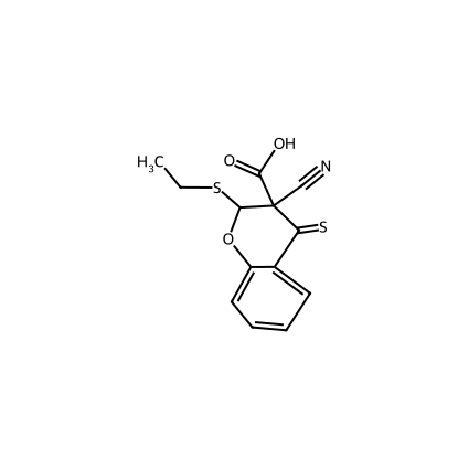 CCSC1Oc2ccccc2C(=S)C1(C#N)C(=O)O